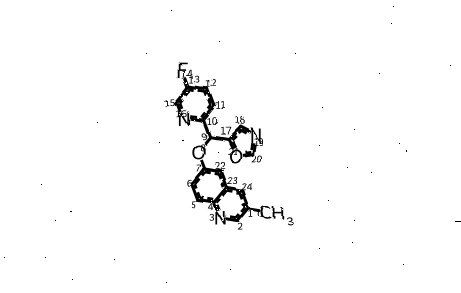 Cc1cnc2ccc(OC(c3ccc(F)cn3)c3cnco3)cc2c1